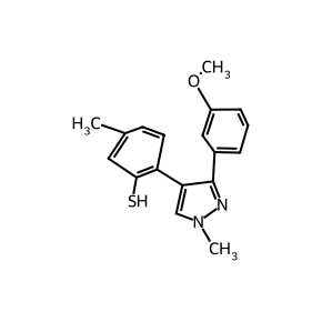 COc1cccc(-c2nn(C)cc2-c2ccc(C)cc2S)c1